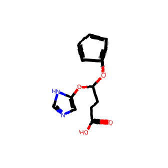 O=C(O)CCC(Oc1ccccc1)Oc1cnc[nH]1